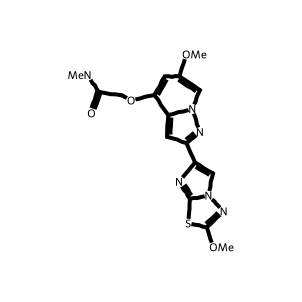 CNC(=O)COc1cc(OC)cn2nc(-c3cn4nc(OC)sc4n3)cc12